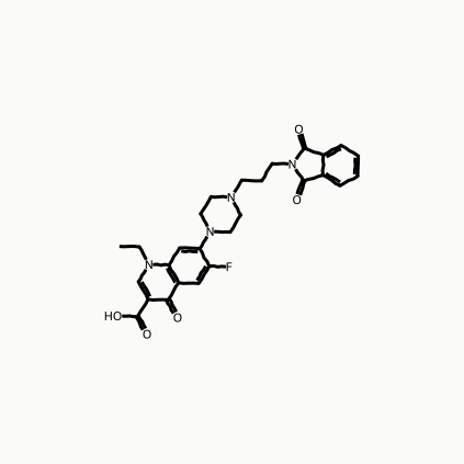 CCn1cc(C(=O)O)c(=O)c2cc(F)c(N3CCN(CCCN4C(=O)c5ccccc5C4=O)CC3)cc21